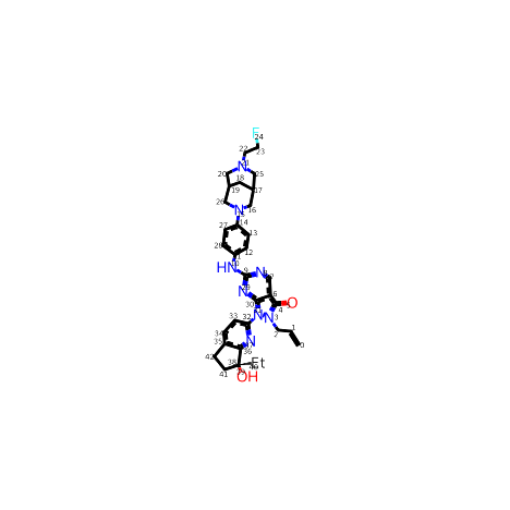 C=CCn1c(=O)c2cnc(Nc3ccc(N4CC5CC(CN(CCF)C5)C4)cc3)nc2n1-c1ccc2c(n1)[C@@](O)(CC)CC2